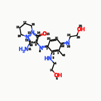 CC1=C(NCCO)C(=Nc2c(N)n3n(c2=O)CCCC3)C=CC1=NCCO